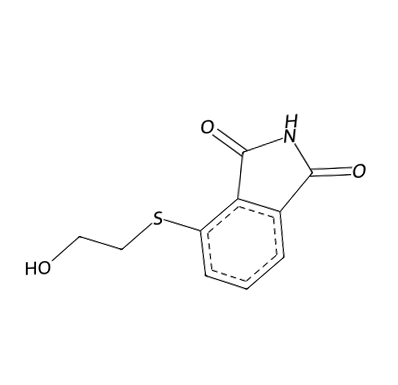 O=C1NC(=O)c2c(SCCO)cccc21